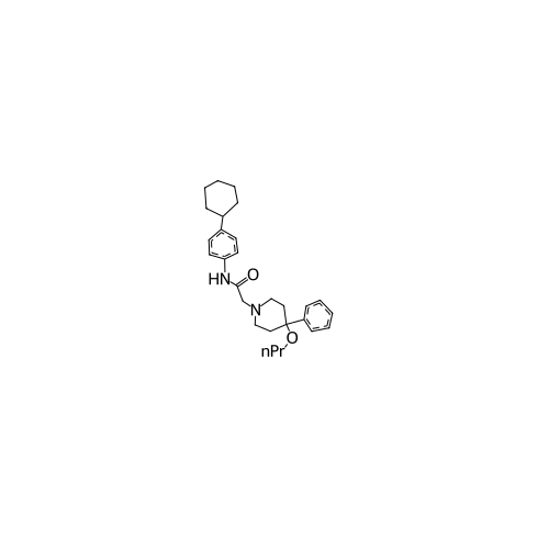 CCCOC1(c2ccccc2)CCN(CC(=O)Nc2ccc(C3CCCCC3)cc2)CC1